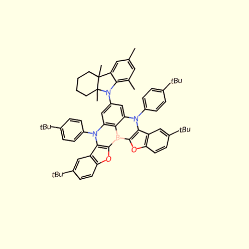 Cc1cc(C)c2c(c1)C1(C)CCCCC1(C)N2c1cc2c3c(c1)N(c1ccc(C(C)(C)C)cc1)c1c(oc4ccc(C(C)(C)C)cc14)B3c1oc3ccc(C(C)(C)C)cc3c1N2c1ccc(C(C)(C)C)cc1